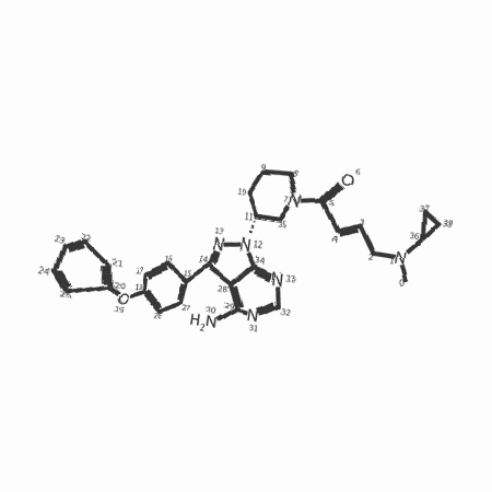 CN(CC=CC(=O)N1CCC[C@@H](n2nc(-c3ccc(Oc4ccccc4)cc3)c3c(N)ncnc32)C1)C1CC1